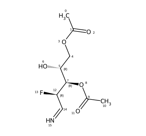 CC(=O)OC[C@@H](O)[C@@H](OC(C)=O)[C@H](F)C=N